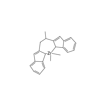 CC1CC2=Cc3ccccc3[CH]2[Zr]([CH3])([CH3])[CH]2C1=Cc1ccccc12